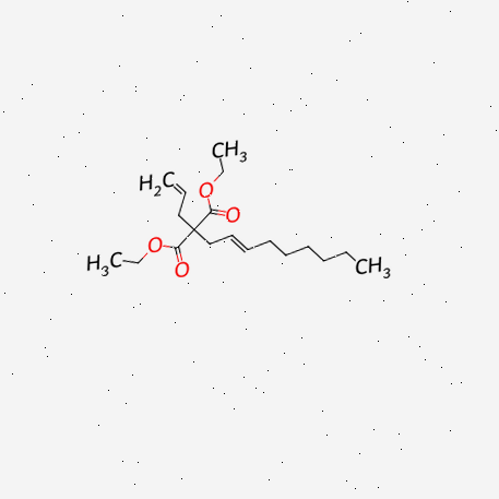 C=CCC(C/C=C/CCCCCC)(C(=O)OCC)C(=O)OCC